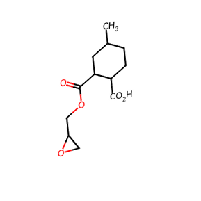 CC1CCC(C(=O)O)C(C(=O)OCC2CO2)C1